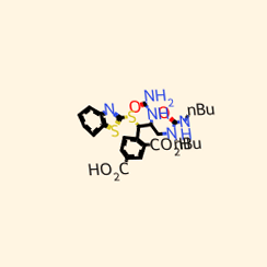 CCCCNC(=O)N(CCCC)CC(NC(N)=O)C(Sc1nc2ccccc2s1)c1ccc(C(=O)O)cc1C(=O)O